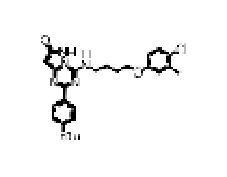 Cc1cc(OCCCCNc2nc(-c3ccc(C(C)(C)C)cc3)nc3cc(=O)[nH]n23)ccc1Cl